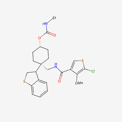 CCNC(=O)O[C@H]1CC[C@](CNC(=O)c2csc(Cl)c2OC)(C2CSc3ccccc32)CC1